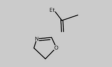 C1=NCCO1.C=C(C)CC